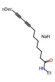 [CH2]CNC(=O)CCCCCCC#CC#CCCCCCCCCCC.[NaH]